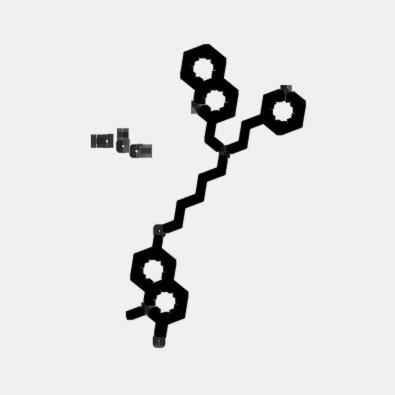 Cl.Cl.Cl.Cn1c(=O)ccc2cc(OCCCCCN(CCc3cccnc3)Cc3ccc4ccccc4n3)ccc21